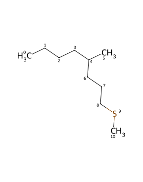 CCCCC(C)CCCSC